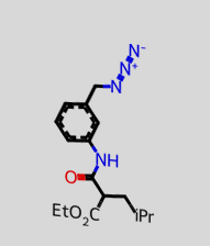 CCOC(=O)C(CC(C)C)C(=O)Nc1cccc(CN=[N+]=[N-])c1